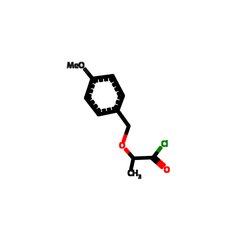 COc1ccc(COC(C)C(=O)Cl)cc1